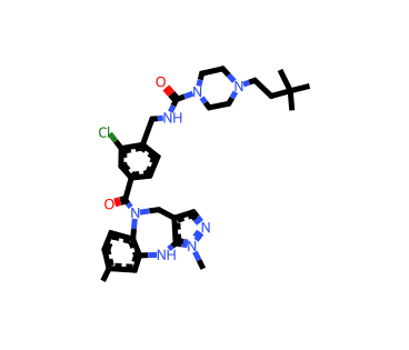 Cc1ccc2c(c1)Nc1c(cnn1C)CN2C(=O)c1ccc(CNC(=O)N2CCN(CCC(C)(C)C)CC2)c(Cl)c1